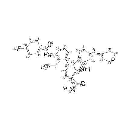 NCc1c(NC(=O)c2ccc(F)cc2)cccc1-c1ccc(C(N)=O)c2[nH]c3cc(CN4CCOCC4)ccc3c12